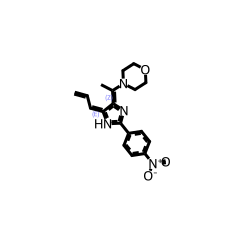 C=C/C=c1/[nH]c(-c2ccc([N+](=O)[O-])cc2)n/c1=C(/C)N1CCOCC1